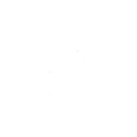 CNc1nc(C2CCC(C)(C)C(NS(=O)(=O)Cc3ccccc3)C2)ccc1NCC(C)(C)C